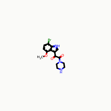 COc1ccc(Br)c2[nH]cc(C(=O)C(=O)N3CCNCC3)c12